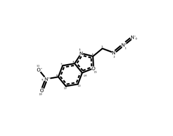 [N-]=[N+]=NCc1nc2cc([N+](=O)[O-])ccc2o1